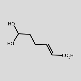 O=C(O)C=CCCC(O)O